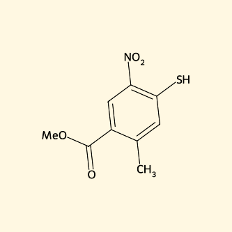 COC(=O)c1cc([N+](=O)[O-])c(S)cc1C